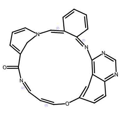 O=C1/N=C\C=C/Oc2ccc3ncnc(c3c2)/N=c2/cccc/c2=C/N2C=CC=C1C2